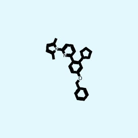 Cc1ccc(C)n1-c1cccc(-c2ccc(OCc3ccccc3)cc2C2CCCC2)n1